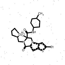 CCc1cc2c(cc3n2CC(C)(C(=O)NC2CCC(C)CC2)N(CC2CCCO2)C3=O)s1